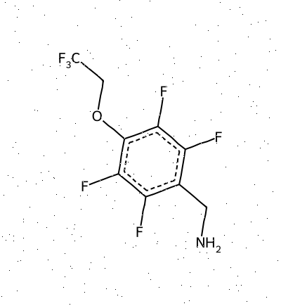 NCc1c(F)c(F)c(OCC(F)(F)F)c(F)c1F